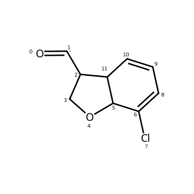 O=[C]C1COC2C(Cl)=CC=CC12